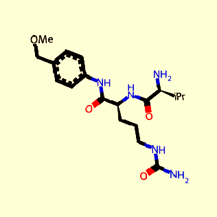 COCc1ccc(NC(=O)[C@H](CCCNC(N)=O)NC(=O)[C@@H](N)C(C)C)cc1